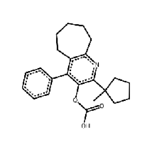 CC1(c2nc3c(c(-c4ccccc4)c2OC(=O)O)CCCCC3)CCCC1